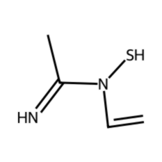 C=CN(S)C(C)=N